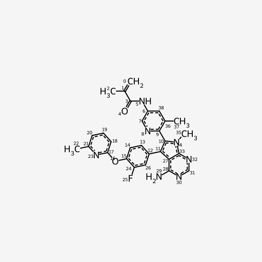 C=C(C)C(=O)Nc1cnc(-c2c(-c3ccc(Oc4cccc(C)n4)c(F)c3)c3c(N)ncnc3n2C)c(C)c1